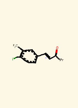 CC(C)C(=O)/C=C/c1ccc(F)c(C(F)(F)F)c1